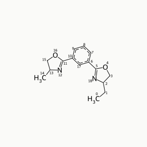 CCC1COC(c2cccc(C3=NC(C)CO3)c2)=N1